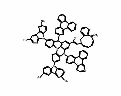 C=C1/C=C\C=C/C(/C=C(\C)c2cc3c4c(c2)N(c2ccc5c6ccccc6c6ccccc6c5c2)c2cc(-n5c6ccc(C(C)(C)C)cc6c6cc(C(C)(C)C)ccc65)ccc2B4c2ccc(-n4c5ccc(C(C)(C)C)cc5c5cc(C(C)(C)C)ccc54)cc2N3c2ccc3c4ccccc4c4ccccc4c3c2)Cc2ccccc21